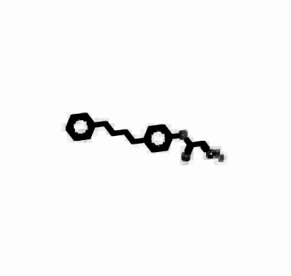 C=CC(=O)Oc1ccc(CCCCc2ccccc2)cc1